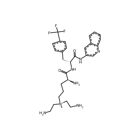 C[N+](CCN)(CCN)CCC[C@H](N)C(=O)N[C@H](Cc1ccc(C(F)(F)F)cc1)C(=O)Nc1cnc2ccccc2c1